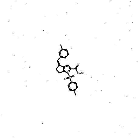 COC(=O)c1cc2c(n1S(=O)(=O)c1ccc(C)cc1)CC/C2=C/c1cccc(C)c1